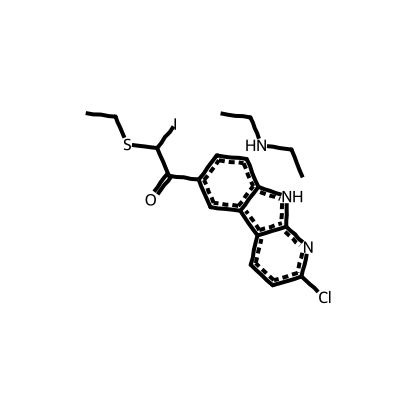 CCNCC.CCSC(I)C(=O)c1ccc2[nH]c3nc(Cl)ccc3c2c1